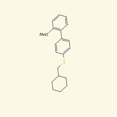 COc1ccc[c]c1-c1ccc(SCC2CCCCC2)cc1